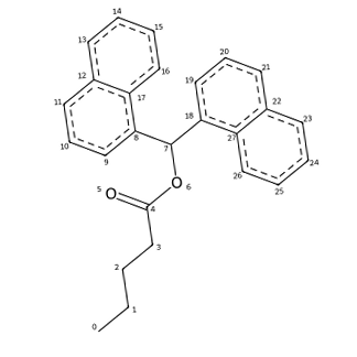 CCCCC(=O)OC(c1cccc2ccccc12)c1cccc2ccccc12